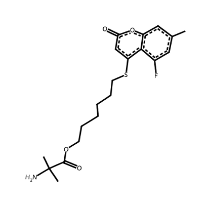 Cc1cc(F)c2c(SCCCCCCOC(=O)C(C)(C)N)cc(=O)oc2c1